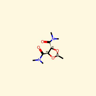 CB1O[C@@H](C(=O)N(C)C)[C@H](C(=O)N(C)C)O1